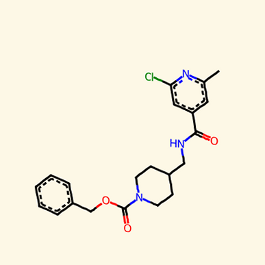 Cc1cc(C(=O)NCC2CCN(C(=O)OCc3ccccc3)CC2)cc(Cl)n1